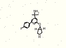 CC(C)(N)c1cc(OC2[C@H]3CNC[C@@H]23)nc(-c2ccc(F)cc2)c1